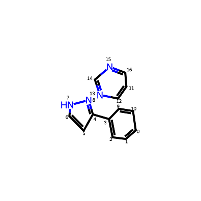 c1ccc(-c2cc[nH]n2)cc1.c1cncnc1